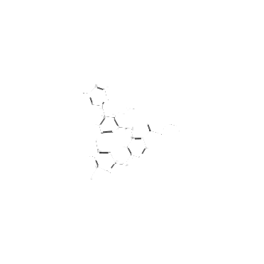 CCONC(=O)c1cnc(Nc2cc(C)nc(C)n2)cc1Nc1cccc(-c2cnccn2)c1OC